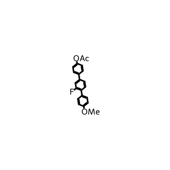 COc1ccc(-c2ccc(-c3ccc(OC(C)=O)cc3)cc2F)cc1